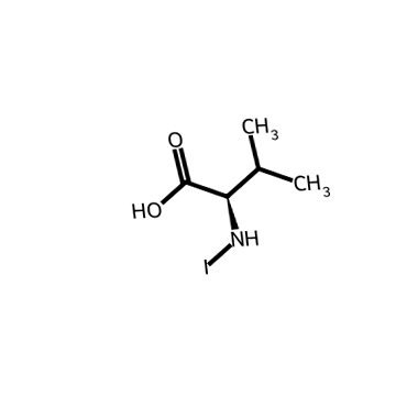 CC(C)[C@@H](NI)C(=O)O